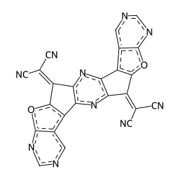 N#CC(C#N)=C1c2nc3c(nc2-c2c1oc1ncncc21)C(=C(C#N)C#N)c1oc2ncncc2c1-3